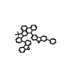 CC1(C)c2ccc(C(c3ccc4sc5cc(-c6ccccc6)ccc5c4c3)c3ccccc3-c3ccccc3)cc2-c2c(-c3cccc4oc5ccccc5c34)cccc21